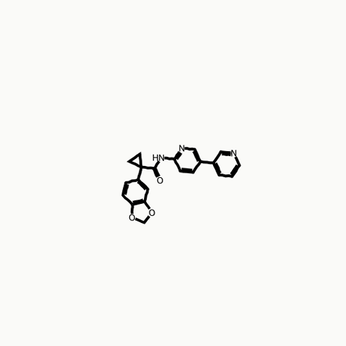 O=C(Nc1ccc(-c2cccnc2)cn1)C1(c2ccc3c(c2)OCO3)CC1